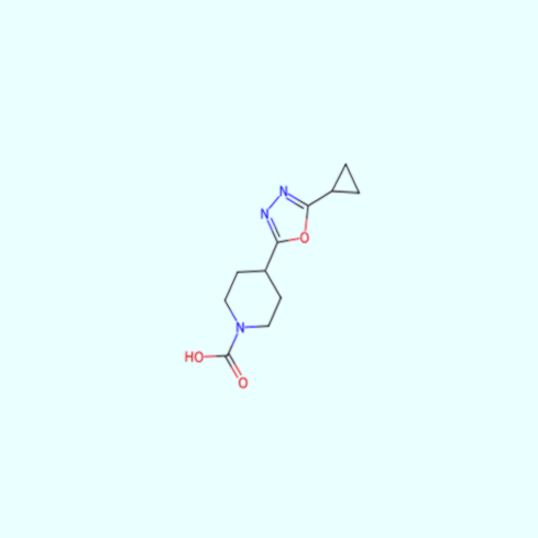 O=C(O)N1CCC(c2nnc(C3CC3)o2)CC1